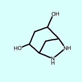 OC1CC(O)C2CC1NN2